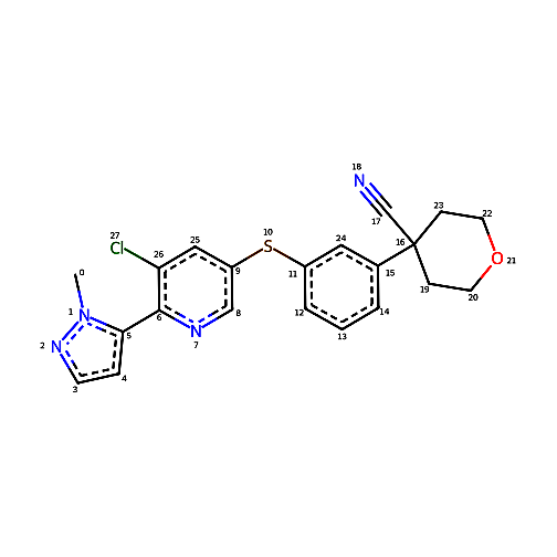 Cn1nccc1-c1ncc(Sc2cccc(C3(C#N)CCOCC3)c2)cc1Cl